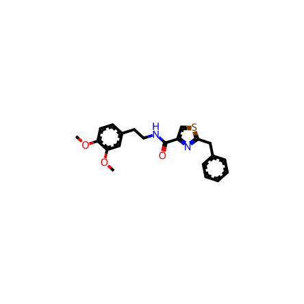 COc1ccc(CCNC(=O)c2csc(Cc3ccccc3)n2)cc1OC